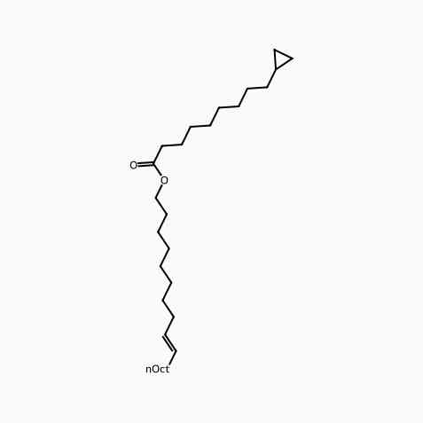 CCCCCCCCC=CCCCCCCCCOC(=O)CCCCCCCCC1CC1